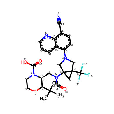 CC(C)(C)C1OCCN(C(=O)O)[C@H]1CN(C=O)C12CN(c3ccc(C#N)c4ncccc34)CC1(C(F)(F)F)C2